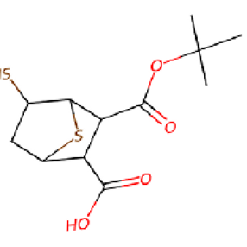 CC(C)(C)OC(=O)C1C2SC(CC2S)C1C(=O)O